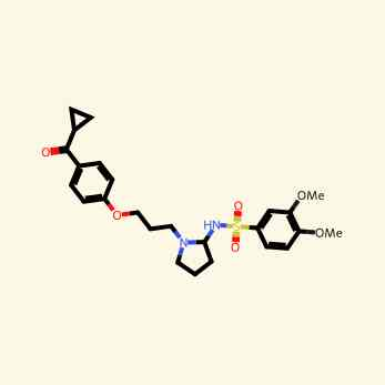 COc1ccc(S(=O)(=O)NC2CCCN2CCCOc2ccc(C(=O)C3CC3)cc2)cc1OC